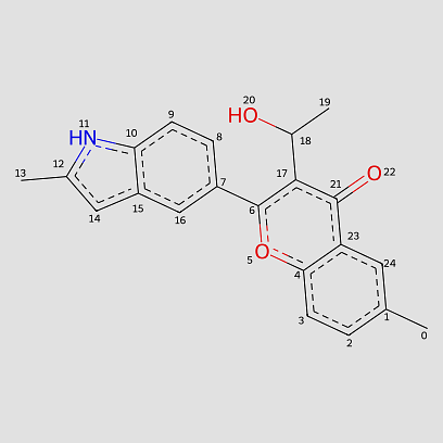 Cc1ccc2oc(-c3ccc4[nH]c(C)cc4c3)c(C(C)O)c(=O)c2c1